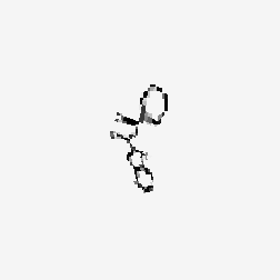 O=C(CC(=O)N1CCCCC1)c1cc2ccccc2[nH]1